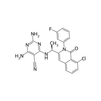 C[C@H](Nc1nc(N)nc(N)c1C#N)c1cc2cccc(Cl)c2c(=O)n1-c1cccc(F)c1